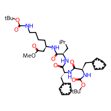 COC(=O)C[C@@H](CCCCNC(=O)OC(C)(C)C)NC(=O)[C@@H](CC(C)C)NC(=O)[C@@H](Cc1ccccc1)NC(=O)[C@@H](Cc1ccccc1)NC(=O)OC(C)(C)C